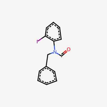 O=[C]N(Cc1ccccc1)c1ccccc1I